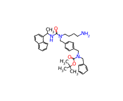 CC(NC(=O)N(CCCCN)Cc1ccc(CN(Cc2ccccc2)C(=O)OC(C)(C)C)cc1)c1cccc2ccccc12